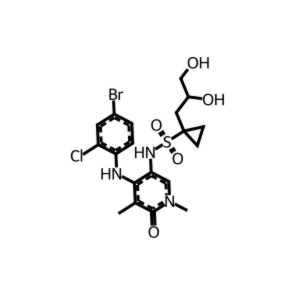 Cc1c(Nc2ccc(Br)cc2Cl)c(NS(=O)(=O)C2(CC(O)CO)CC2)cn(C)c1=O